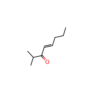 CCCC=CC(=O)C(C)C